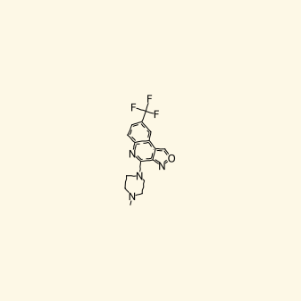 CN1CCN(c2nc3ccc(C(F)(F)F)cc3c3conc23)CC1